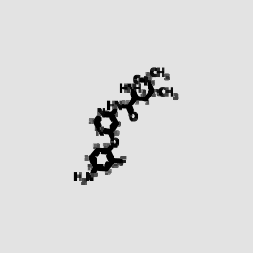 C[C@H](CC(=N)C(=O)Nc1cc(Oc2ccc(N)cc2F)ncn1)N(C)C